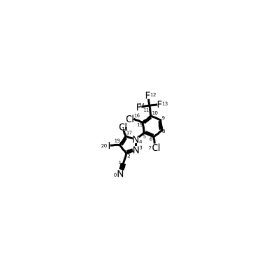 N#Cc1nn(-c2c(Cl)ccc(C(F)(F)F)c2Cl)c(Cl)c1I